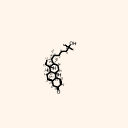 C[C@H](CCCC(C)(C)O)[C@H]1CC[C@H]2[C@@H]3CC=C4CC(=O)C=C[C@]4(C)[C@H]3CC[C@]12C